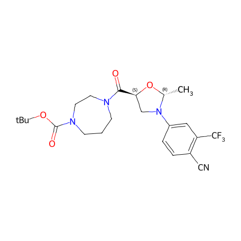 C[C@H]1O[C@H](C(=O)N2CCCN(C(=O)OC(C)(C)C)CC2)CN1c1ccc(C#N)c(C(F)(F)F)c1